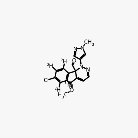 [2H]c1c([2H])c(C2(C=O)C(C(=O)OC)=CC=NN2c2cnn(C)c2)c([2H])c([2H])c1Cl